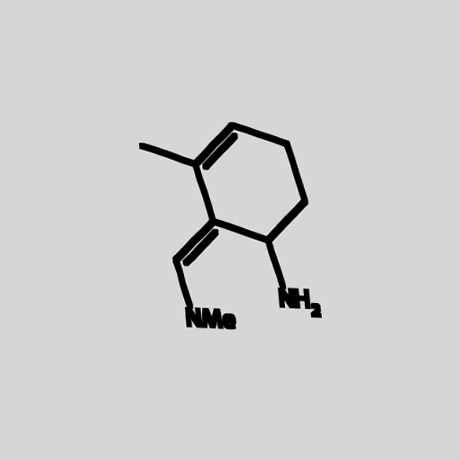 CN/C=C1/C(C)=CCCC1N